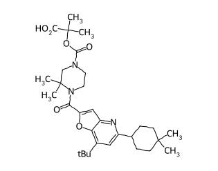 CC1(C)CCC(c2cc(C(C)(C)C)c3oc(C(=O)N4CCN(C(=O)OC(C)(C)C(=O)O)CC4(C)C)cc3n2)CC1